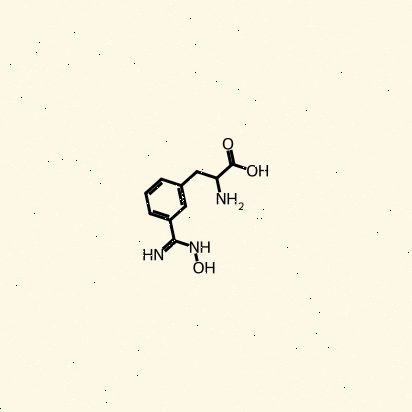 N=C(NO)c1cccc(CC(N)C(=O)O)c1